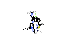 C=C(CC)N1CC2(C1)CN(c1cc(C)n3nc(CC)c(N(C)c4nc(-c5ccc(F)cc5)c(C#N)s4)c3c1)C2